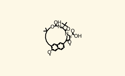 COc1cc2ccc3cc2cc1CCCCC(C)(C)COC(=O)N[C@@H](C(C)(C)C)C(=O)N1C[C@@]3(OC)C[C@H]1C(=O)O